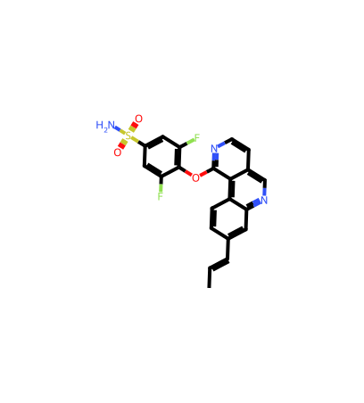 C/C=C/c1ccc2c(c1)ncc1ccnc(Oc3c(F)cc(S(N)(=O)=O)cc3F)c12